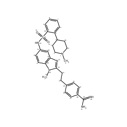 CN1CCC(c2ccccc2S(=O)(=O)Nc2ccc3c(c2)nc(CCc2ccc(C(=N)N)cc2)n3C)CC1